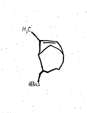 CCC(C)C1CC2C=C(C)C1C2